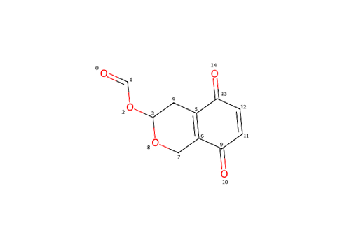 O=COC1CC2=C(CO1)C(=O)C=CC2=O